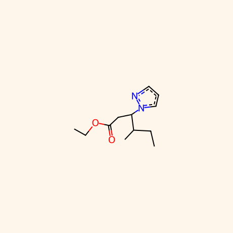 CCOC(=O)CC(C(C)CC)n1cccn1